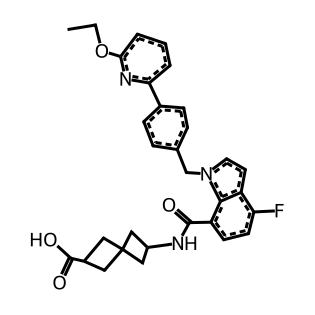 CCOc1cccc(-c2ccc(Cn3ccc4c(F)ccc(C(=O)NC5CC6(C5)CC(C(=O)O)C6)c43)cc2)n1